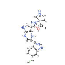 CC1(NC(=O)c2c[nH]c3ncc(-c4n[nH]c5cc(CF)ccc45)nc23)CCNC1